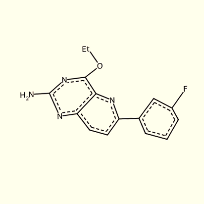 CCOc1nc(N)nc2ccc(-c3cccc(F)c3)nc12